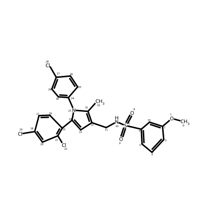 COc1cccc(S(=O)(=O)NCc2cc(-c3ccc(Cl)cc3Cl)n(-c3ccc(Cl)cc3)c2C)c1